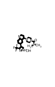 CN(C)C(=O)N1CCN(c2ccnc3ccc(-c4c[nH]nc4C(F)(F)F)cc23)CC1.Cl